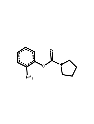 Nc1ccccc1OC(=O)N1CCCC1